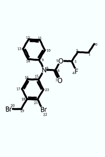 CCCC(F)OC(=O)N(c1ccccc1)c1ccc(CBr)c(Br)c1